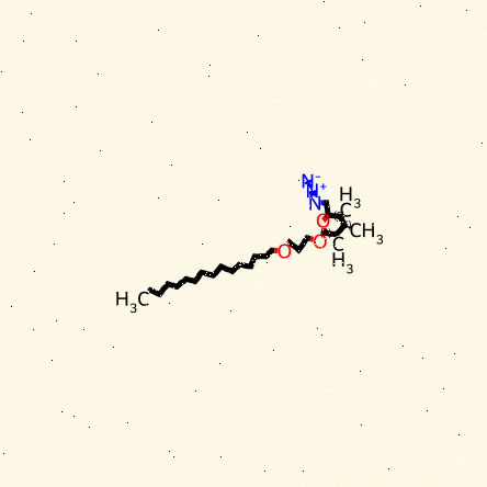 CCCCCCCCCCCCCCCCOCCCO[C@@H]1OC(CN=[N+]=[N-])[C@@H](C)[C@H](C)C1C